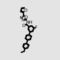 CCc1ccc(-c2ccc(-c3cc(F)cc(C(=O)Nc4nnc(-c5ccco5)o4)c3)cc2)cc1